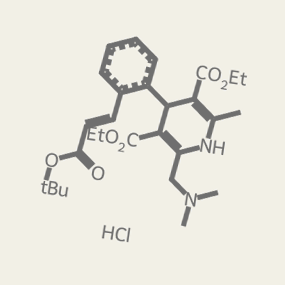 CCOC(=O)C1=C(C)NC(CN(C)C)=C(C(=O)OCC)C1c1ccccc1/C=C/C(=O)OC(C)(C)C.Cl